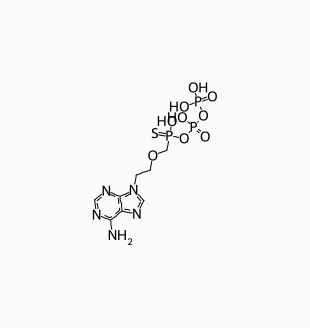 Nc1ncnc2c1ncn2CCOCP(O)(=S)OP(=O)(O)OP(=O)(O)O